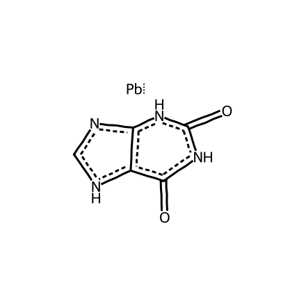 O=c1[nH]c(=O)c2[nH]cnc2[nH]1.[Pb]